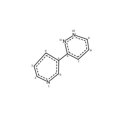 [c]1ncccc1-c1cccnn1